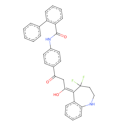 O=C(CC(O)=C1c2ccccc2NCCC1(F)F)c1ccc(NC(=O)c2ccccc2-c2ccccc2)cc1